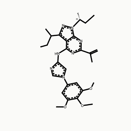 C=C(C)c1nc(Nc2cn(-c3cc(OC)c(OC)c(OC)c3)cn2)c2c(C(C)CC)nn([C@H](C)CC)c2n1